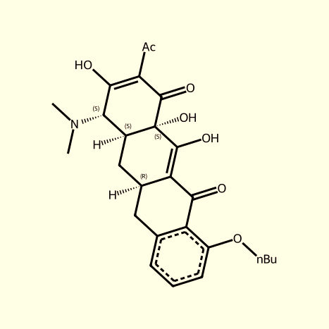 CCCCOc1cccc2c1C(=O)C1=C(O)[C@]3(O)C(=O)C(C(C)=O)=C(O)[C@@H](N(C)C)[C@@H]3C[C@@H]1C2